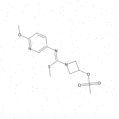 COc1ccc(N=C(SC)N2CC(OS(C)(=O)=O)C2)cn1